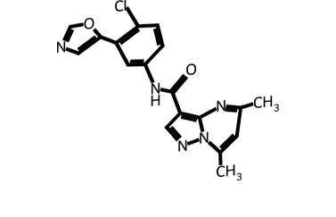 Cc1cc(C)n2ncc(C(=O)Nc3ccc(Cl)c(-c4cnco4)c3)c2n1